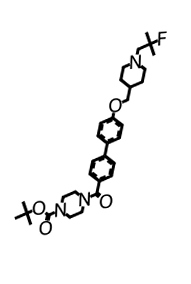 CC(C)(F)CN1CCC(COc2ccc(-c3ccc(C(=O)N4CCN(C(=O)OC(C)(C)C)CC4)cc3)cc2)CC1